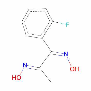 CC(=NO)C(=NO)c1ccccc1F